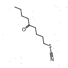 CCCCC(=O)CCCCSC#N